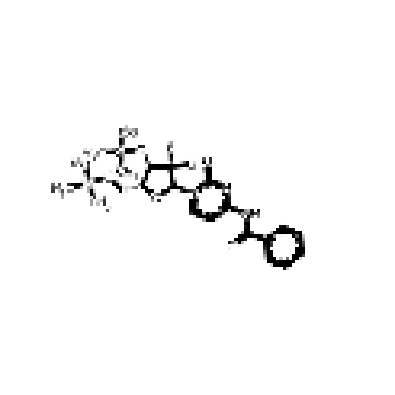 CC(C)(C)[Si](C)(C)OC[C@H]1OC(n2ccc(NC(=O)c3ccccc3)nc2=O)[C@@](F)(Cl)[C@@H]1O[Si](C)(C)C(C)(C)C